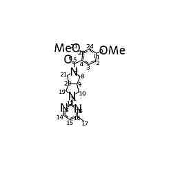 COc1ccc(C(=O)N2CC3CN(c4nccc(C)n4)CC3C2)c(OC)c1